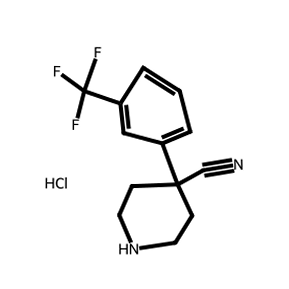 Cl.N#CC1(c2cccc(C(F)(F)F)c2)CCNCC1